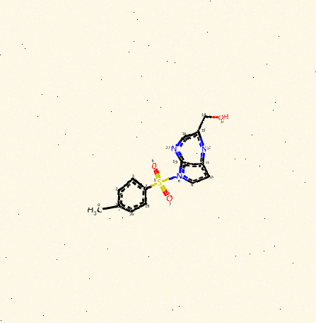 Cc1ccc(S(=O)(=O)n2ccc3nc(CO)cnc32)cc1